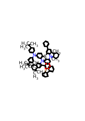 CC(C)(C)c1ccc(N(c2ccc(C(C)(C)C)cc2)c2ccc3c(c2)N(c2cc4c(cc2-c2ccccc2)C(C)(C)CCC4(C)C)c2cc(-c4cccc5c4sc4ccccc45)cc4c2B3c2cc(-c3ccccc3)cc3c2N4C2(C)CCCCC32C)cc1